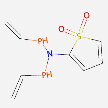 C=CPN(PC=C)C1=CC=CS1(=O)=O